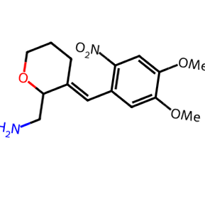 COc1cc(C=C2CCCOC2CN)c([N+](=O)[O-])cc1OC